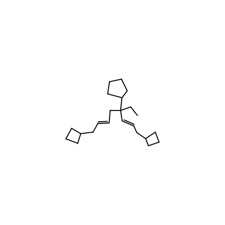 [CH2]CC(C=CCC1CCC1)(CC=CCC1CCC1)C1CCCC1